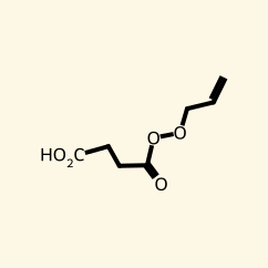 C=CCOOC(=O)CCC(=O)O